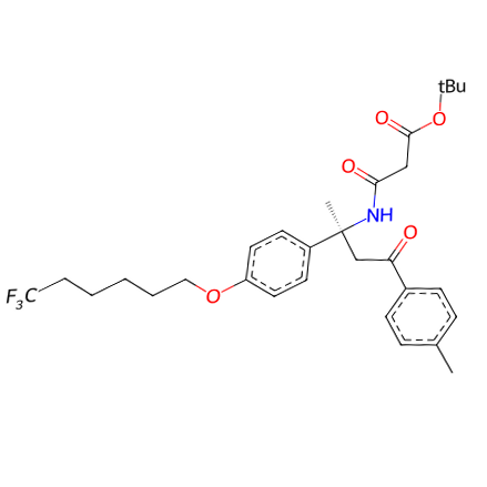 Cc1ccc(C(=O)C[C@](C)(NC(=O)CC(=O)OC(C)(C)C)c2ccc(OCCCCCC(F)(F)F)cc2)cc1